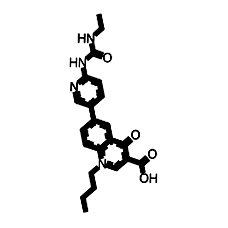 CCCCn1cc(C(=O)O)c(=O)c2cc(-c3ccc(NC(=O)NCC)nc3)ccc21